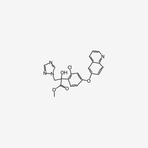 COC(=O)C(O)(Cn1cncn1)c1ccc(Oc2ccc3ncccc3c2)cc1Cl